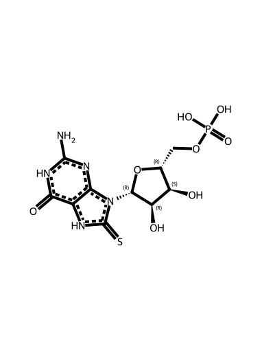 Nc1nc2c([nH]c(=S)n2[C@@H]2O[C@H](COP(=O)(O)O)[C@@H](O)[C@H]2O)c(=O)[nH]1